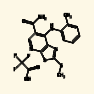 CSc1nc2c(Nc3ccccc3C)c(C(N)=O)cnc2s1.O=C(O)C(F)(F)F